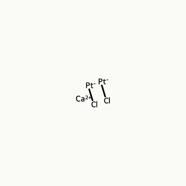 [Ca+2].[Cl][Pt-].[Cl][Pt-]